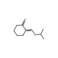 CC(C)OC=C1CCCCC1=O